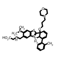 Cc1ccccc1C1=CC=CC(OCCCN2CCOCC2)(c2nc3cc(CNCC(=O)O)c(N(C)C)cc3s2)C1C